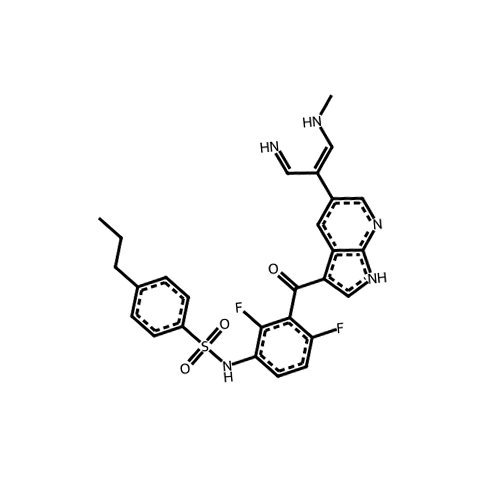 CCCc1ccc(S(=O)(=O)Nc2ccc(F)c(C(=O)c3c[nH]c4ncc(/C(C=N)=C/NC)cc34)c2F)cc1